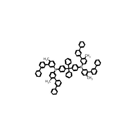 Cc1ccc(N(c2ccc(C(c3ccccc3)(c3ccccc3)c3ccc(N(c4ccc(C)c(-c5cccc(-c6ccccc6)c5)c4)c4ccc(C)c(-c5cccc(-c6ccccc6)c5)c4)cc3)cc2)c2ccc(C)c(-c3cccc(-c4ccccc4)c3)c2)cc1-c1cccc(-c2ccccc2)c1